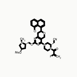 C=C(F)C(=O)N1CCN(c2nc(OC[C@@H]3C[C@@H](OC)CN3C)nc3c2COC(c2cccc4cccc(Cl)c24)C3)C[C@@H]1CC#N